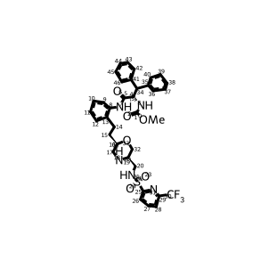 COC(=O)N[C@H](C(=O)Nc1ccccc1CC[C@@H]1CN[C@H](CNS(=O)(=O)c2cccc(C(F)(F)F)n2)CO1)C(c1ccccc1)c1ccccc1